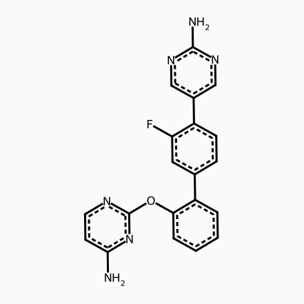 Nc1ccnc(Oc2ccccc2-c2ccc(-c3cnc(N)nc3)c(F)c2)n1